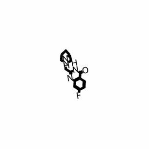 O=c1[nH]c(CN2CC3CC(C2)N3)nc2cc(F)ccc12